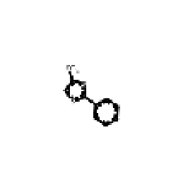 ClC(Cl)(Cl)c1csc(-c2cc[c]cc2)n1